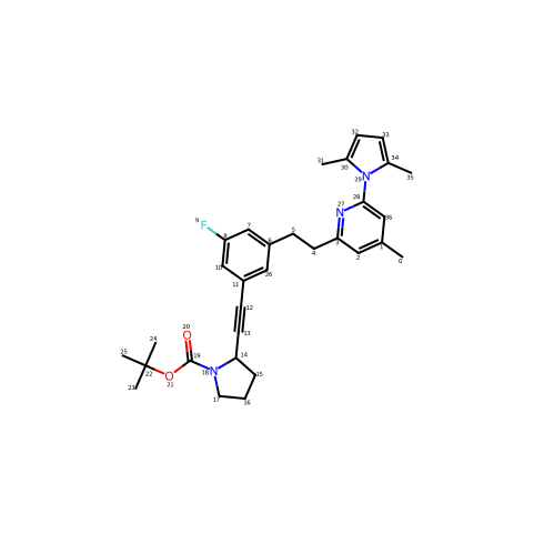 Cc1cc(CCc2cc(F)cc(C#CC3CCCN3C(=O)OC(C)(C)C)c2)nc(-n2c(C)ccc2C)c1